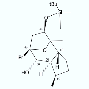 CC(C)[C@@]12C[C@@H](O[Si](C)(C)C(C)(C)C)C(C)(O1)[C@@H]1CC[C@@H](C)[C@H]1[C@@H]2O